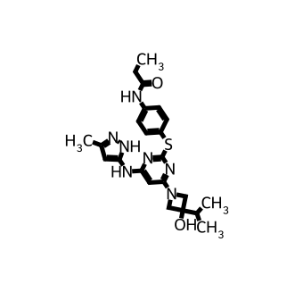 CCC(=O)Nc1ccc(Sc2nc(Nc3cc(C)n[nH]3)cc(N3CC(O)(C(C)C)C3)n2)cc1